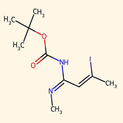 C/N=C(\C=C(\C)I)NC(=O)OC(C)(C)C